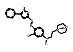 CCN(CC[N+]12CCN(CC1)CC2)c1ccc(N=Nc2cc(-c3ccccc3)[nH]n2)c(Cl)c1